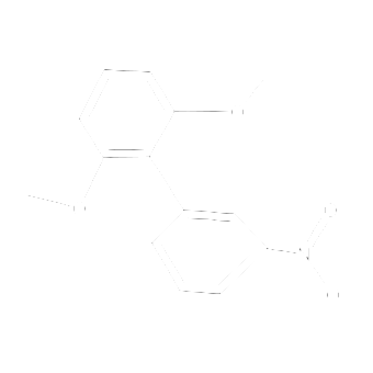 COc1cccc(OC)c1-c1cccc([N+](=O)[O-])c1